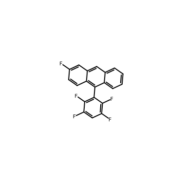 Fc1ccc2c(-c3c(F)c(F)cc(F)c3F)c3ccccc3cc2c1